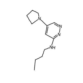 CCCCNc1cc(N2CCCC2)cnn1